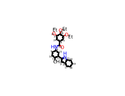 CCOc1cc(C(=O)Nc2ccc(C)c(-c3cc4ccccc4[nH]3)c2)cc(OCC)c1OCC